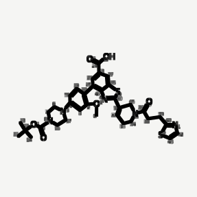 COc1cc(N2CCN(C(=O)OC(C)(C)C)CC2)ccc1-c1cc(C(=O)O)cc2sc(C3=CCCN(C(=O)CCc4nccs4)C3)nc12